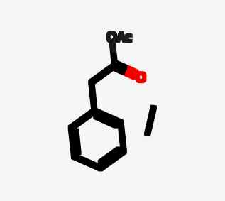 CC.CC(=O)OC(=O)Cc1ccccc1